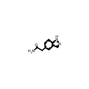 NC(=O)Cc1ccc2[nH]ncc2c1